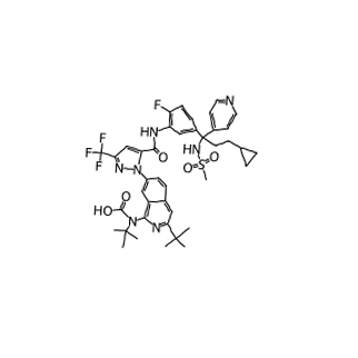 CC(C)(C)c1cc2ccc(-n3nc(C(F)(F)F)cc3C(=O)Nc3cc(C(CCC4CC4)(NS(C)(=O)=O)c4ccncc4)ccc3F)cc2c(N(C(=O)O)C(C)(C)C)n1